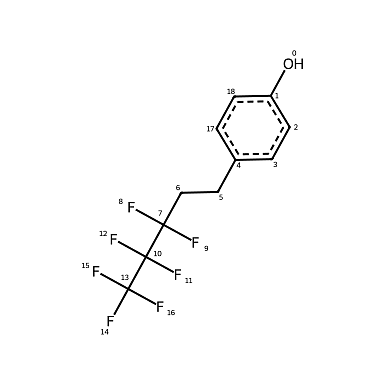 Oc1ccc(CCC(F)(F)C(F)(F)C(F)(F)F)cc1